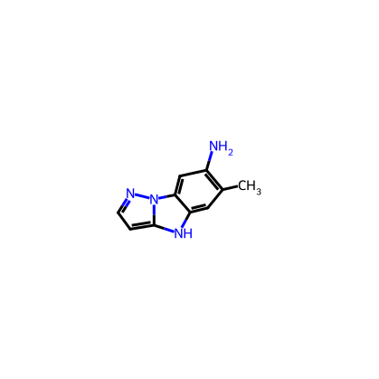 Cc1cc2[nH]c3ccnn3c2cc1N